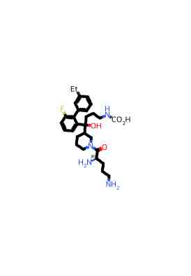 CCc1cccc(-c2c(F)cccc2C(O)(CCCNC(=O)O)C2CCCN(C(=O)[C@H](N)CCCN)C2)c1